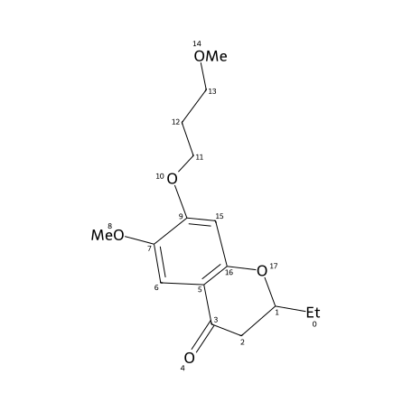 CCC1CC(=O)c2cc(OC)c(OCCCOC)cc2O1